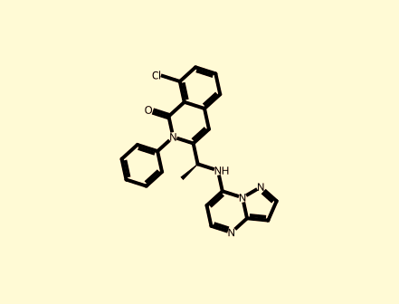 C[C@H](Nc1ccnc2ccnn12)c1cc2cccc(Cl)c2c(=O)n1-c1ccccc1